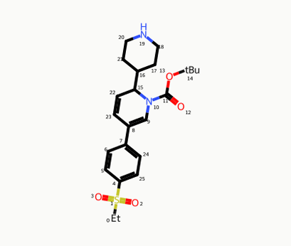 CCS(=O)(=O)c1ccc(C2=CN(C(=O)OC(C)(C)C)C(C3CCNCC3)C=C2)cc1